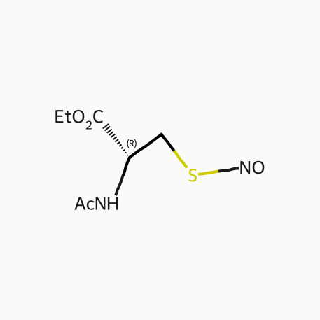 CCOC(=O)[C@H](CSN=O)NC(C)=O